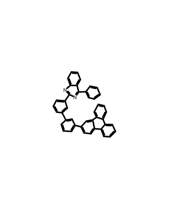 c1ccc(-c2nc(-c3cccc(-c4cccc(-c5ccc6c7ccccc7c7ccccc7c6c5)c4)c3)nc3ccccc23)cc1